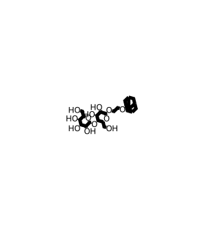 OCC1O[C@H](O[C@@H]2C(CO)O[C@@H](OCCOC34CC5CC(CC(C5)C3)C4)C(O)[C@H]2O)C(O)[C@@H](O)[C@@H]1O